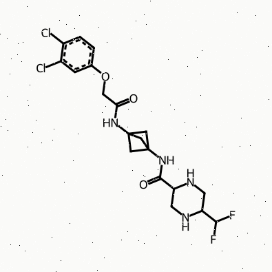 O=C(COc1ccc(Cl)c(Cl)c1)NC12CC(NC(=O)C3CNC(C(F)F)CN3)(C1)C2